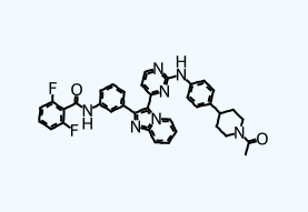 CC(=O)N1CCC(c2ccc(Nc3nccc(-c4c(-c5cccc(NC(=O)c6c(F)cccc6F)c5)nc5ccccn45)n3)cc2)CC1